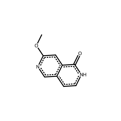 COc1cc2c(=O)[nH]ccc2cn1